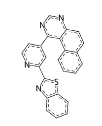 c1ccc2c(c1)ccc1ncnc(-c3ccnc(-c4nc5ccccc5s4)c3)c12